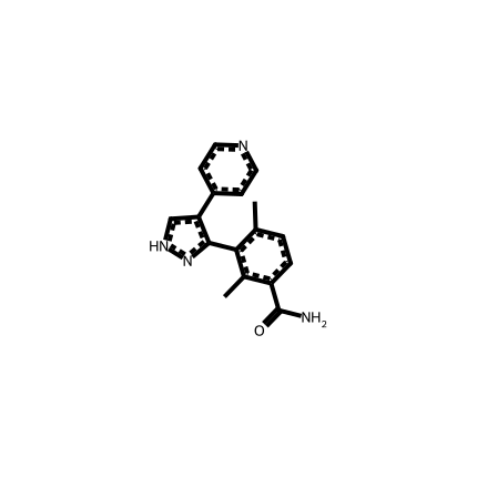 Cc1ccc(C(N)=O)c(C)c1-c1n[nH]cc1-c1ccncc1